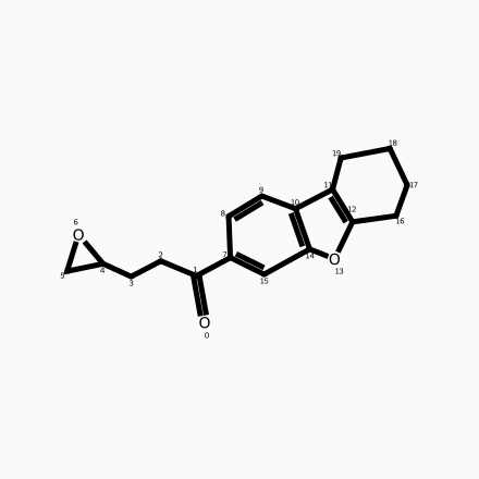 O=C(CCC1CO1)c1ccc2c3c(oc2c1)CCCC3